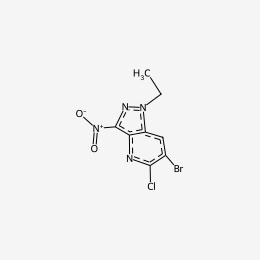 CCn1nc([N+](=O)[O-])c2nc(Cl)c(Br)cc21